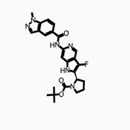 Cn1ncc2cc(C(=O)Nc3cc4[nH]c([C@H]5CCCN5C(=O)OC(C)(C)C)c(F)c4cn3)ccc21